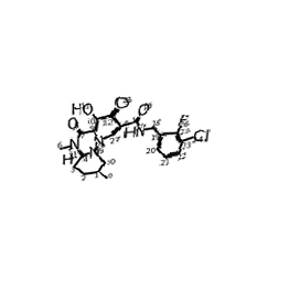 C[C@H]1CC[C@H]2N(C)C(=O)c3c(O)c(=O)c(C(=O)NCc4cccc(Cl)c4F)cn3N2C1